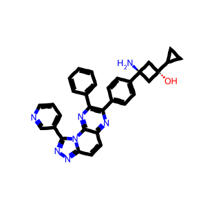 N[C@]1(c2ccc(-c3nc4ccc5nnc(-c6cccnc6)n5c4nc3-c3ccccc3)cc2)C[C@](O)(C2CC2)C1